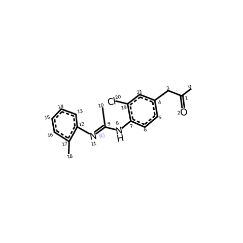 CC(=O)Cc1ccc(N/C(C)=N/c2ccccc2C)c(Cl)c1